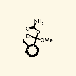 CCC(OC)(OC(N)=O)c1ccccc1I